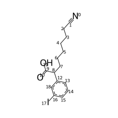 N#CCCCCCCC(C(=O)O)c1cccc(I)c1